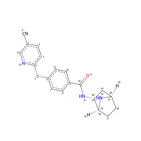 N#Cc1ccc(Sc2ccc(C(=O)N[C@@H]3C[C@H]4CC[C@@H]3N4)cc2)nc1